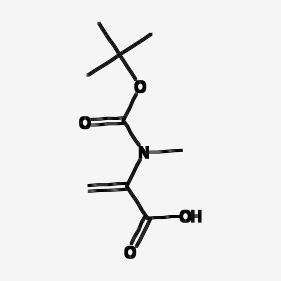 C=C(C(=O)O)N(C)C(=O)OC(C)(C)C